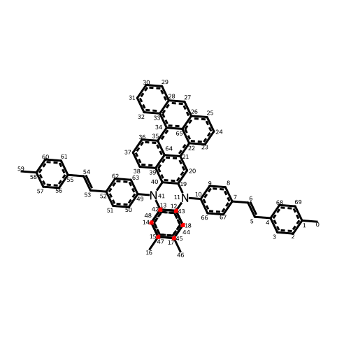 Cc1ccc(C=Cc2ccc(N(c3ccc(C)cc3)c3cc4c5cccc6cc7ccccc7c(c7cccc(c3N(c3ccc(C)cc3)c3ccc(C=Cc8ccc(C)cc8)cc3)c47)c65)cc2)cc1